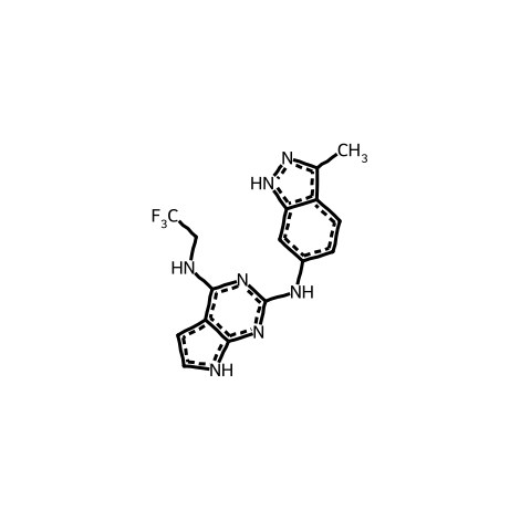 Cc1n[nH]c2cc(Nc3nc(NCC(F)(F)F)c4cc[nH]c4n3)ccc12